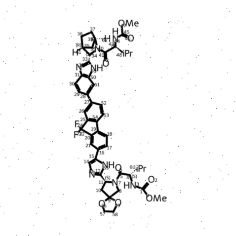 COC(=O)N[C@H](C(=O)N1CC2(C[C@H]1c1ncc(-c3ccc4c(c3)C(F)(F)c3cc(-c5ccc6nc([C@@H]7[C@@H]8CC[C@H](C8)N7C(=O)[C@@H](NC(=O)OC)C(C)C)[nH]c6c5)ccc3-4)[nH]1)OCCO2)C(C)C